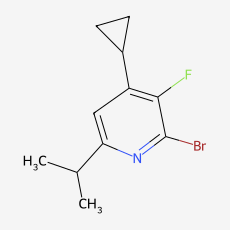 CC(C)c1cc(C2CC2)c(F)c(Br)n1